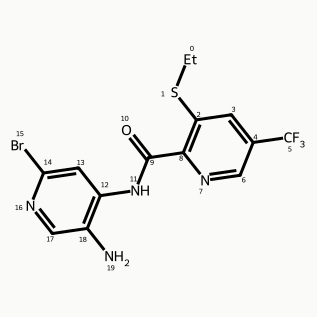 CCSc1cc(C(F)(F)F)cnc1C(=O)Nc1cc(Br)ncc1N